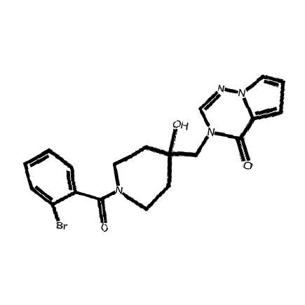 O=C(c1ccccc1Br)N1CCC(O)(Cn2cnn3cccc3c2=O)CC1